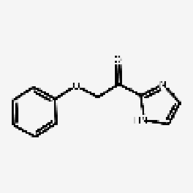 O=C(COc1ccccc1)c1ncc[nH]1